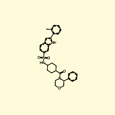 Cc1ccccc1-c1cc2ccc(S(=O)(=O)NC3CCC(C(=O)N4CCOCC4c4ccccc4)CC3)cc2[nH]1